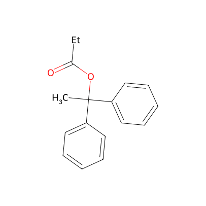 CCC(=O)OC(C)(c1ccccc1)c1ccccc1